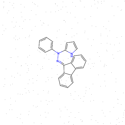 c1ccc(N(N=C2c3ccccc3-c3ccccc32)c2ccc[nH]2)cc1